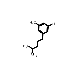 Cc1cc(Cl)cc(CCCC(C)N)c1